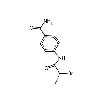 C[C@@H](Br)C(=O)Nc1ccc(C(N)=O)cc1